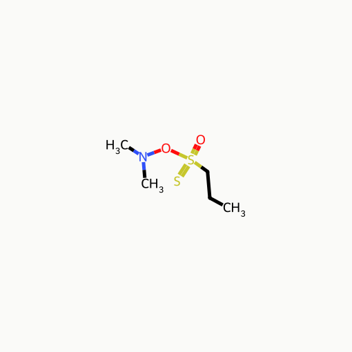 CCCS(=O)(=S)ON(C)C